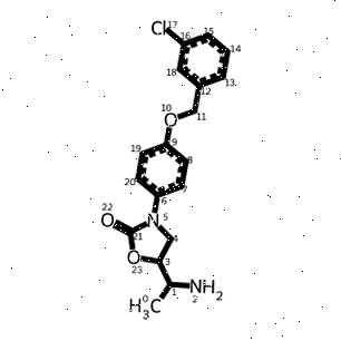 CC(N)C1CN(c2ccc(OCc3cccc(Cl)c3)cc2)C(=O)O1